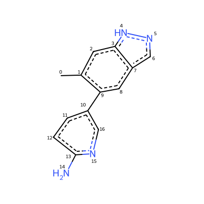 Cc1cc2[nH]ncc2cc1-c1ccc(N)nc1